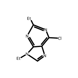 CCc1nc(Cl)c2ncn(CC)c2n1